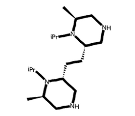 CC(C)N1[C@H](CC[C@H]2CNC[C@H](C)N2C(C)C)CNC[C@H]1C